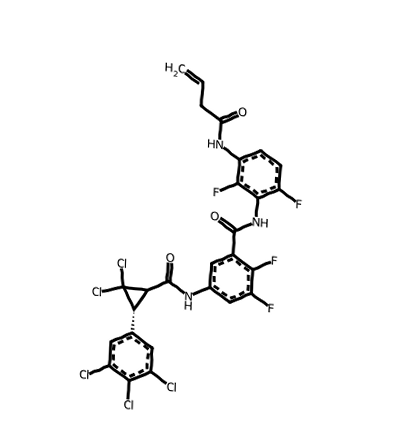 C=CCC(=O)Nc1ccc(F)c(NC(=O)c2cc(NC(=O)C3[C@H](c4cc(Cl)c(Cl)c(Cl)c4)C3(Cl)Cl)cc(F)c2F)c1F